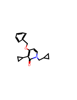 O=c1c(C2CC2)c(OCc2ccccc2)ccn1CC1CC1